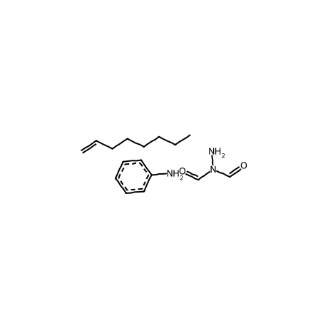 C=CCCCCCC.NN(C=O)C=O.Nc1ccccc1